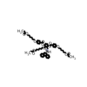 C=CC(=O)OCCCCCCOc1ccc(C(=O)Oc2ccc(OC(=O)c3ccc(OCCCCCCOC(=O)C=C)cc3)c(OCCCCCCOC(=O)C=C)c2/C=N/Nc2cc3ccccc3c3ccccc23)cc1